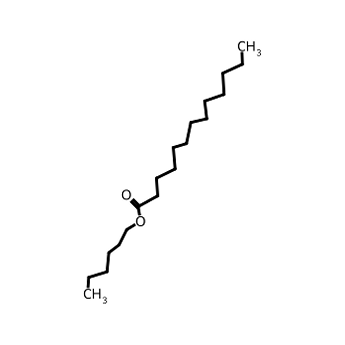 CCCCCCCCCCCCC(=O)OCCCCCC